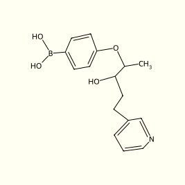 CC(Oc1ccc(B(O)O)cc1)C(O)CCc1cccnc1